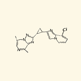 Cc1ncc(C)n2nc(C3CC3c3cn4cccc(Cl)c4n3)nc12